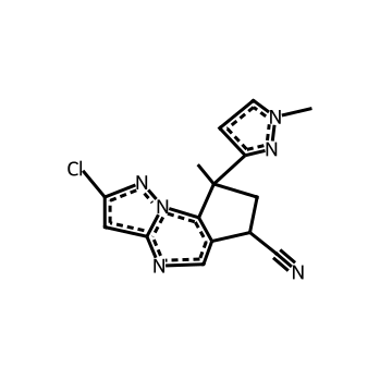 Cn1ccc(C2(C)CC(C#N)c3cnc4cc(Cl)nn4c32)n1